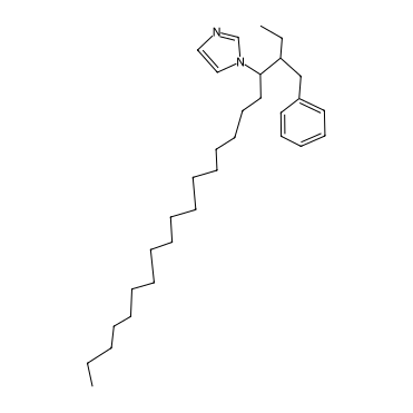 CCCCCCCCCCCCCCCCCC(C(CC)Cc1ccccc1)n1ccnc1